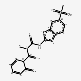 CN(C(=O)Nc1nc2ccc(S(C)(=O)=O)cc2s1)C(=O)C1C=CC=CC1=S